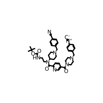 [C-]#[N+]c1ccc(CN2CCN(C(=O)c3ccc(C(=O)N(CCNC(=O)OC(C)(C)C)C4CCN(Cc5ccc(C#N)cc5)CC4)nc3)CC2)cc1